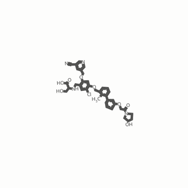 Cc1c(COc2cc(OCc3cncc(C#N)c3)c(CNC(CO)C(=O)O)cc2Cl)cccc1-c1cccc(OCC(=O)N2CC[C@H](O)C2)c1